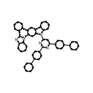 c1ccc(-c2ccc(-c3cc(-n4c5ccccc5c5cc6c7ccccc7c7nc8ccccc8n7c6cc54)nc(-c4ccc(-c5ccccc5)cc4)n3)cc2)cc1